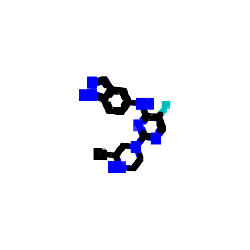 CCC1CN(c2ncc(F)c(Nc3ccc4[nH]ncc4c3)n2)CCN1